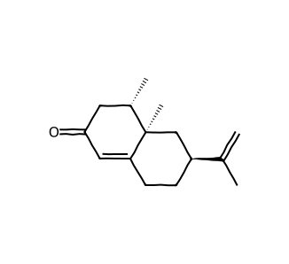 C=C(C)[C@H]1CCC2=CC(=O)C[C@H](C)[C@@]2(C)C1